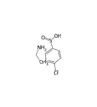 CCN.O=S(O)c1ccc(Cl)cc1